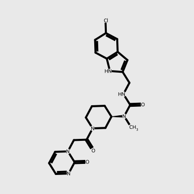 CN(C(=O)NCc1cc2cc(Cl)ccc2[nH]1)[C@@H]1CCCN(C(=O)Cn2cccnc2=O)C1